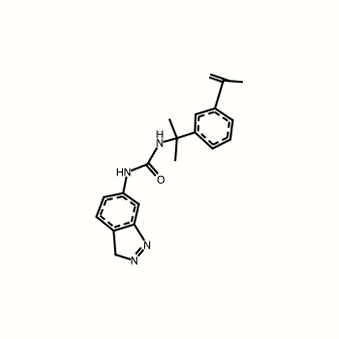 C=C(C)c1cccc(C(C)(C)NC(=O)Nc2ccc3c(c2)N=NC3)c1